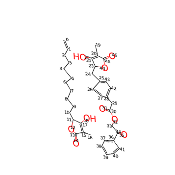 C=CCCCCCCCCCC1OC(=O)C(C)=C1O.CC1=C(O)C(Cc2ccc(CC(=O)OCC(=O)c3ccccc3)cc2)OC1=O